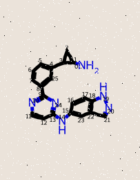 NC1CC1c1cccc(-c2nccc(Nc3ccc4[nH]ncc4c3)n2)c1